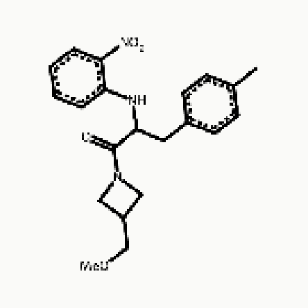 COCC1CN(C(=O)C(Cc2ccc(C)cc2)Nc2ccccc2[N+](=O)[O-])C1